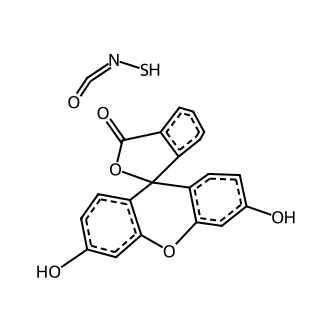 O=C1OC2(c3ccc(O)cc3Oc3cc(O)ccc32)c2ccccc21.O=C=NS